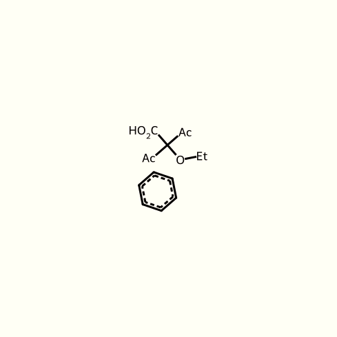 CCOC(C(C)=O)(C(C)=O)C(=O)O.c1ccccc1